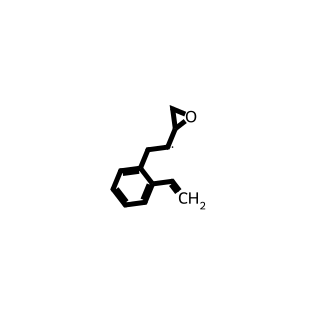 C=Cc1ccccc1C[CH]C1CO1